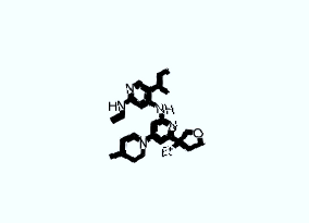 C=CNc1cc(Nc2cc(N3CCC(C)CC3)cc(C3(CC)CCOC3)n2)c(C(C)=CC)cn1